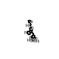 COc1cc(/C=C2/C(C)=C(CC(=O)NCc3cccn3C)c3cc(F)ccc32)cc(OC)c1B(O)O